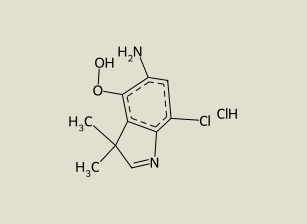 CC1(C)C=Nc2c(Cl)cc(N)c(OO)c21.Cl